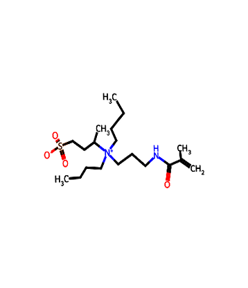 C=C(C)C(=O)NCCC[N+](CCCC)(CCCC)C(C)CCS(=O)(=O)[O-]